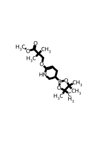 COC(=O)C(C)(C)COC1=CCC(B2OC(C)(C)C(C)(C)O2)CN1